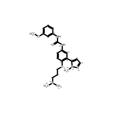 COc1cccc(NC(=O)Nc2ccc(OCCCN(C)C)c(-c3ccnn3C)c2)c1